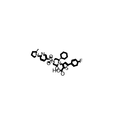 C[C@@H]1CCCN1c1ccc(S(=O)(=O)N2CC(=O)N(c3cc(C4=CCC(F)C=C4)sc3C(=O)O)[C@H](C3CCCCC3)C2)cn1